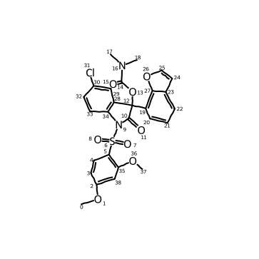 COc1ccc(S(=O)(=O)N2C(=O)C(OC(=O)N(C)C)(c3cccc4ccoc34)c3cc(Cl)ccc32)c(OC)c1